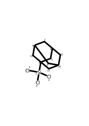 Cl[Si](Cl)(Cl)C12CC3CC(CC(C3)C1)C2